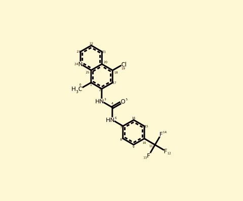 Cc1c(NC(=O)Nc2ccc(C(F)(F)F)cc2)cc(Cl)c2cccnc12